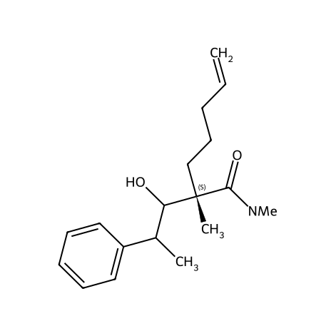 C=CCCC[C@](C)(C(=O)NC)C(O)C(C)c1ccccc1